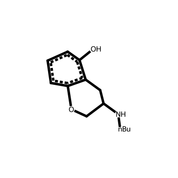 CCCCNC1COc2cccc(O)c2C1